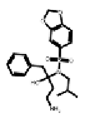 CC(C)CN(C(O)(CCN)Cc1ccccc1)S(=O)(=O)c1ccc2c(c1)OCO2